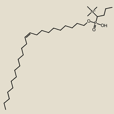 CCCCCCCCCCCCC/C=C\CCCCCCCCCOP(=O)(O)C(CCC)[N+](C)(C)C